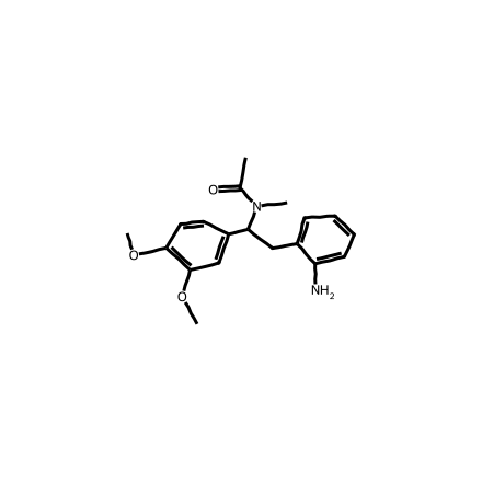 COc1ccc(C(Cc2ccccc2N)N(C)C(C)=O)cc1OC